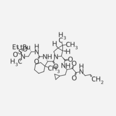 C=CCNC(=O)C(=O)C(CC1CC1)NC(=O)[C@@H]1[C@@H]2[C@H](CN1C(=O)[C@@H](NC(=O)N[C@H](CN(C)S(=O)(=O)CC)C(C)(C)C)C1(C)CCCCC1)C2(C)C